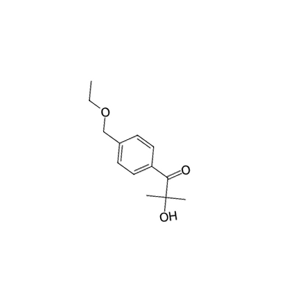 CCOCc1ccc(C(=O)C(C)(C)O)cc1